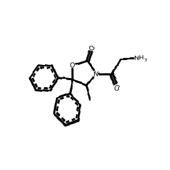 CC1N(C(=O)CN)C(=O)OC1(c1ccccc1)c1ccccc1